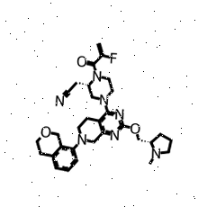 C=C(F)C(=O)N1CCN(c2nc(OC[C@@H]3CCCN3C)nc3c2CCN(c2cccc4c2COCC4)C3)C[C@@H]1CC#N